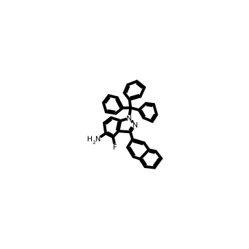 Nc1ccc2c(c(-c3ccc4ccccc4c3)nn2C(c2ccccc2)(c2ccccc2)c2ccccc2)c1F